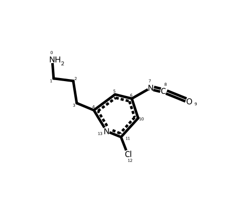 NCCCc1cc(N=C=O)cc(Cl)n1